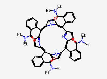 CCN(CC)C(=O)c1ccccc1-c1c2nc(c(-c3ccccc3C(=O)N(CC)CC)c3ccc([nH]3)c(-c3ccccc3C(=O)N(CC)CC)c3nc(c(-c4ccccc4C(=O)N(CC)CC)c4ccc1[nH]4)C=C3)C=C2